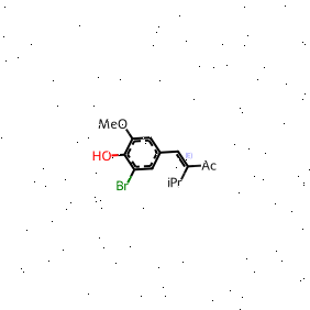 COc1cc(/C=C(/C(C)=O)C(C)C)cc(Br)c1O